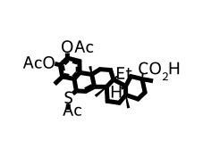 CC[C@@]12CC[C@]3(C)C(=CC(SC(C)=O)c4c3cc(OC(C)=O)c(OC(C)=O)c4C)[C@@]1(C)CC[C@@]1(C)CC[C@@](C)(C(=O)O)C[C@H]12